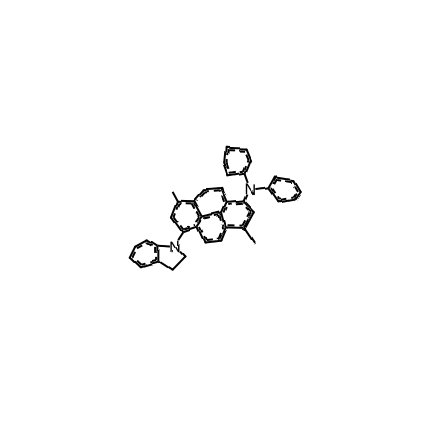 Cc1cc(N2CCc3ccccc32)c2ccc3c(C)cc(N(c4ccccc4)c4ccccc4)c4ccc1c2c34